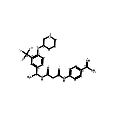 CC(NC(=O)CC(=O)Nc1ccc(C(=N)N)cc1)c1ccc(OC2CCCNC2)c(C(F)(F)F)c1